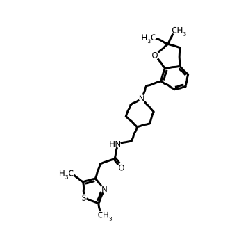 Cc1nc(CC(=O)NCC2CCN(Cc3cccc4c3OC(C)(C)C4)CC2)c(C)s1